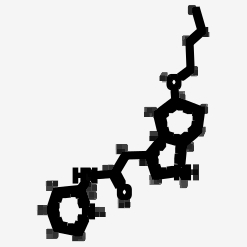 CCCCOc1ccc2[nH]cc(CC(=O)Nc3ccccn3)c2c1